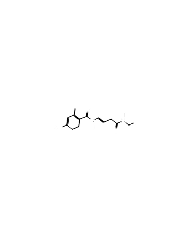 CC(=O)C1=CC(C)=C(C(=O)N/C=C/CC(=O)NCC(F)(F)F)CC1